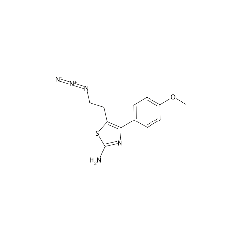 COc1ccc(-c2nc(N)sc2CCN=[N+]=[N-])cc1